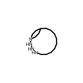 C1CCCCNNNN2CCC(CCCC1)CC2